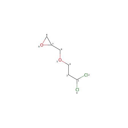 ClC(Cl)CCOCC1CO1